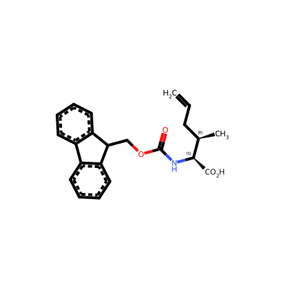 C=CC[C@@H](C)[C@H](NC(=O)OCC1c2ccccc2-c2ccccc21)C(=O)O